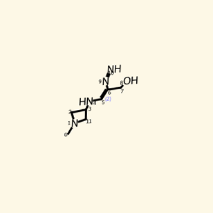 CN1CC(N/C=C(/CO)N=N)C1